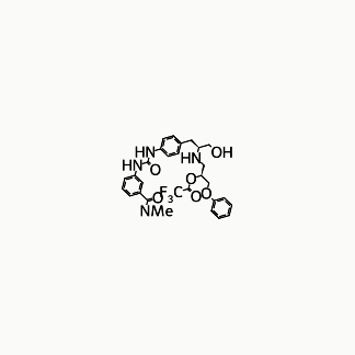 CNC(=O)c1cccc(NC(=O)Nc2ccc(C[C@@H](CO)NC[C@@H](COc3ccccc3)OC(=O)C(F)(F)F)cc2)c1